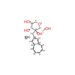 OC[C@H]1OC[C](O)[C@@H](O)[C@@]1(O)Cc1cc2cccccc-2c1.[KH]